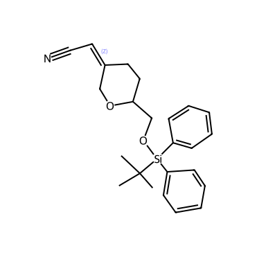 CC(C)(C)[Si](OCC1CC/C(=C/C#N)CO1)(c1ccccc1)c1ccccc1